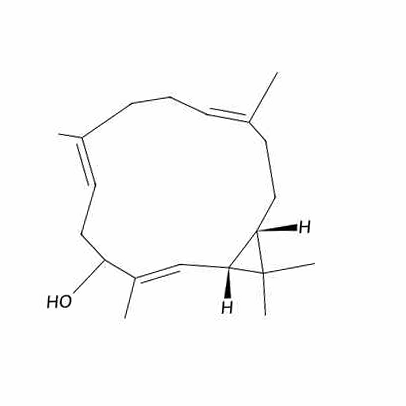 C/C1=C\CC(O)/C(C)=C/[C@@H]2[C@H](CC/C(C)=C/CC1)C2(C)C